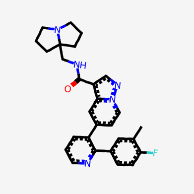 Cc1cc(-c2ncccc2-c2ccn3ncc(C(=O)NCC45CCCN4CCC5)c3c2)ccc1F